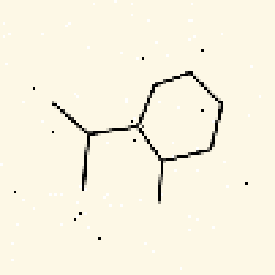 CC(C)[C]1CCCCC1C